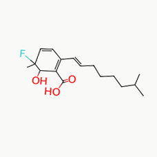 CC(C)CCCCC=CC1=C(C(=O)O)C(O)C(C)(F)C=C1